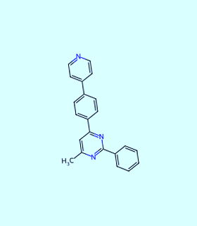 Cc1cc(-c2ccc(-c3ccncc3)cc2)nc(-c2ccccc2)n1